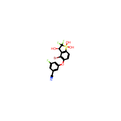 N#Cc1cc(F)cc(Oc2ccc3c(c2Br)[C@@H](O)C(F)(F)S3(O)O)c1